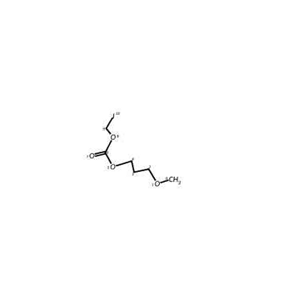 COCCCOC(=O)OCI